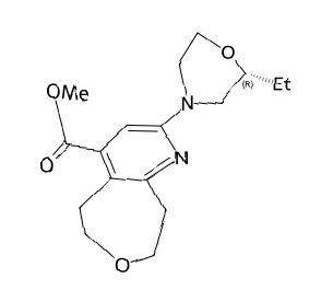 CC[C@@H]1CN(c2cc(C(=O)OC)c3c(n2)CCOCC3)CCO1